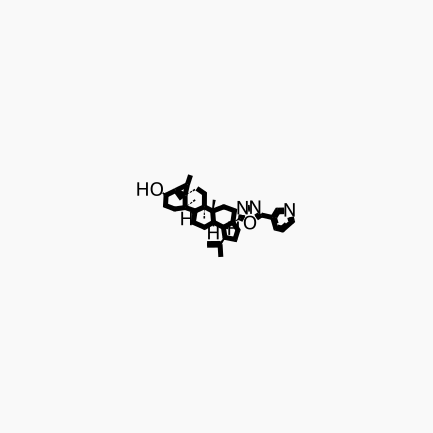 C=C(C)[C@@H]1CC[C@]2(c3nnc(-c4cccnc4)o3)CC[C@]3(C)[C@H](CC[C@H]4[C@@]3(C)CC[C@@]35C(C)C3(C)[C@@H](O)CC[C@]45C)[C@@H]12